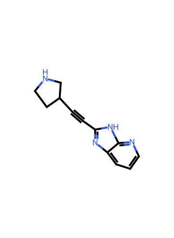 C(#CC1CCNC1)c1nc2cccnc2[nH]1